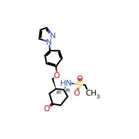 CCS(=O)(=O)N[C@@H]1CCC(=O)C[C@H]1COc1ccc(-n2cccn2)cc1